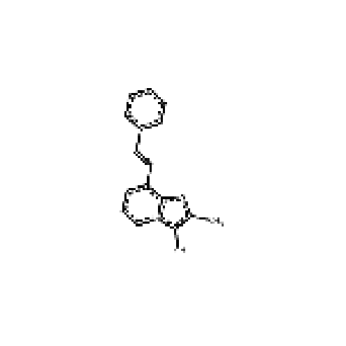 Cc1nc2c(C=Cc3ccccc3)cccn2c1C